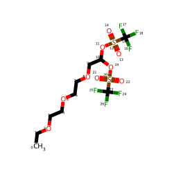 CCOCCOCCOCC(OS(=O)(=O)C(F)(F)F)OS(=O)(=O)C(F)(F)F